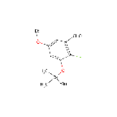 CCOc1cc(C=O)c(F)c(O[Si](C)(C)C(C)(C)C)c1